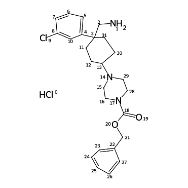 Cl.NCC1(c2cccc(Cl)c2)CCC(N2CCN(C(=O)OCc3ccccc3)CC2)CC1